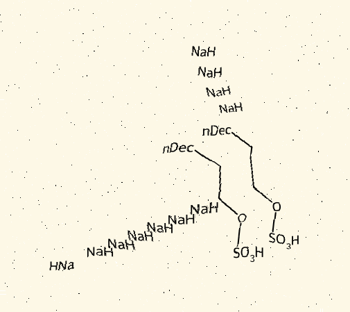 CCCCCCCCCCCCOS(=O)(=O)O.CCCCCCCCCCCCOS(=O)(=O)O.[NaH].[NaH].[NaH].[NaH].[NaH].[NaH].[NaH].[NaH].[NaH].[NaH].[NaH]